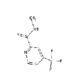 CNC(=S)c1cc(C(F)(F)F)ccn1